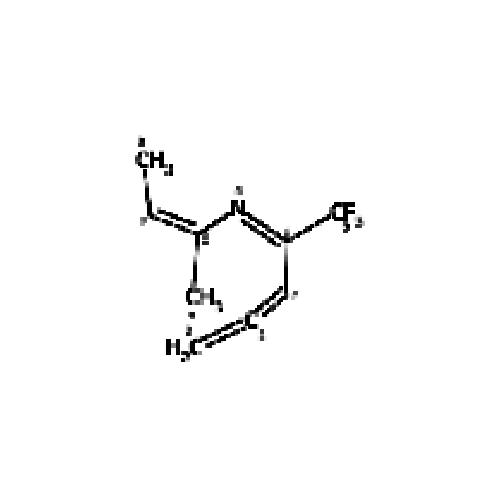 C=C=C/C(=N\C(C)=C/C)C(F)(F)F